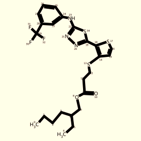 CCCCC(CC)COC(=O)CCSc1ccsc1-c1nnc(Nc2cccc(C(F)(F)F)c2)s1